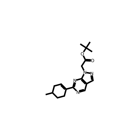 CC1CC=C(c2ncc3cnn(CC(=O)OC(C)(C)C)c3n2)CC1